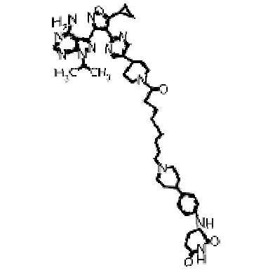 CC(C)n1nc(-c2noc(C3CC3)c2-c2ncc(C3CCN(C(=O)CCCCCCCN4CCC(c5ccc(N[C@@H]6CCC(=O)NC6=O)cc5)CC4)CC3)cn2)c2c(N)ncnc21